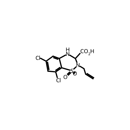 C=CCN1C(C(=O)O)Nc2cc(Cl)cc(Cl)c2S1(=O)=O